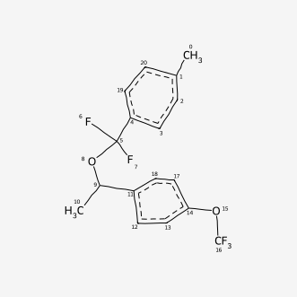 Cc1ccc(C(F)(F)OC(C)c2ccc(OC(F)(F)F)cc2)cc1